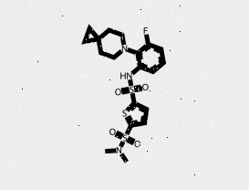 CN(C)S(=O)(=O)c1ccc(S(=O)(=O)Nc2cccc(F)c2N2CCC3(CC2)CC3)s1